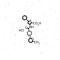 Cc1cccc(N2CCN(C(=O)Nc3cc(-c4ccccc4)sc3C(=O)O)CC2)n1.Cl